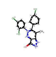 Cc1c2n[nH]c(=O)c-2nn(-c2ccc(Cl)cc2Cl)c1-c1ccc(Cl)cc1